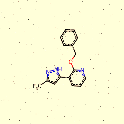 FC(F)(F)c1cc(-c2cccnc2OCc2ccccc2)[nH]n1